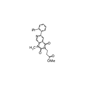 COC(=O)CCn1c(=O)c2cc(-c3ccccc3C(C)C)ncc2n(C)c1=O